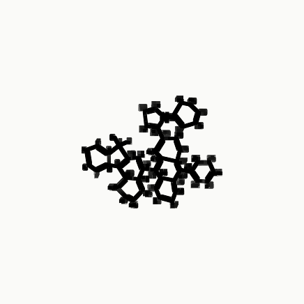 CC1(C)c2ccccc2-c2c1cc(-c1c3ccccc3c(-c3ccccc3)c3ccc(-c4cccn4C4=CC=CCC4)cc13)c1ccccc21